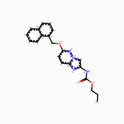 CCCOC(=O)Nc1cn2nc(OCc3cccc4ccccc34)ccc2n1